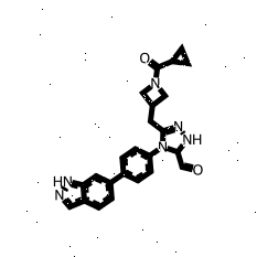 O=CC1NN=C(CC2CN(C(=O)C3CC3)C2)N1c1ccc(-c2ccc3cn[nH]c3c2)cc1